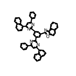 c1ccc(-c2cc(-c3cccc4ccccc34)nc(-c3cc(-c4nc(-c5ccccc5)cc(-c5cccc6ccccc56)n4)cc(-c4nc5c(ccc6ccccc65)o4)c3)n2)cc1